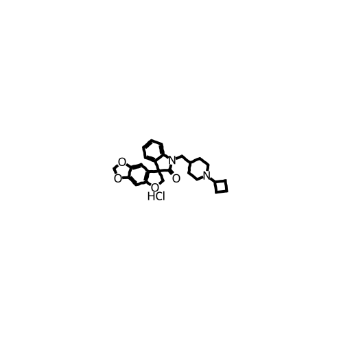 Cl.O=C1N(CC2CCN(C3CCC3)CC2)c2ccccc2C12COc1cc3c(cc12)OCO3